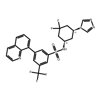 O=S(=O)(N[C@@H]1C[C@H](n2cnnc2)CC(F)(F)C1)c1cc(-c2cccc3cccnc23)cc(C(F)(F)F)c1